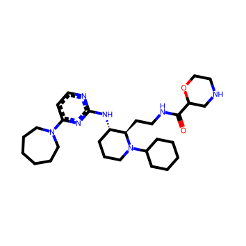 O=C(NCC[C@@H]1[C@@H](Nc2nccc(N3CCCCCC3)n2)CCCN1C1CCCCC1)C1CNCCO1